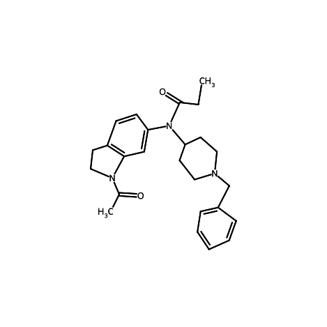 CCC(=O)N(c1ccc2c(c1)N(C(C)=O)CC2)C1CCN(Cc2ccccc2)CC1